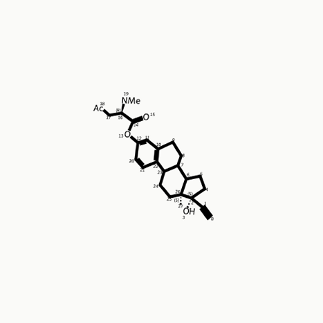 C#C[C@]1(O)CCC2C3CCc4cc(OC(=O)[C@@H](CC(C)=O)NC)ccc4C3CC[C@@]21C